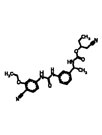 CCOc1cc(NC(=O)Nc2cccc([C@H](C)NC(=O)OC(CC)CC#N)c2)ccc1C#N